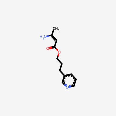 CC(N)=CC(=O)OCCCc1cccnc1